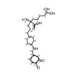 NC(CCCCB(O)O)(CCCN1CCC(NCc2ccc(Cl)c(Cl)c2)CC1)C(=O)O